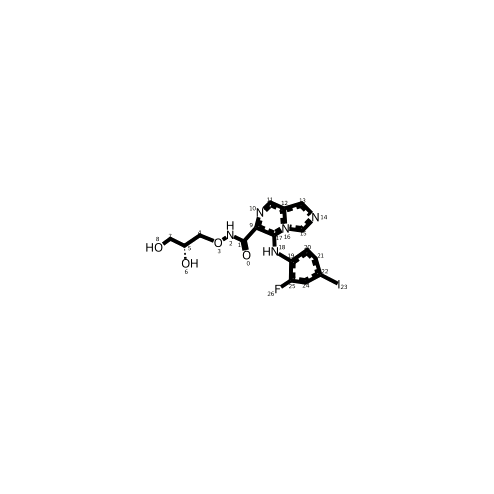 O=C(NOC[C@H](O)CO)c1ncc2cncn2c1Nc1ccc(I)cc1F